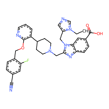 CCn1cncc1Cn1c(CN2CCC(c3cccnc3OCc3ccc(C#N)cc3F)CC2)nc2ccc(C(=O)O)cc21